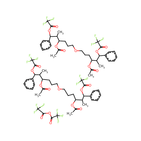 CC(=O)OC(CCCOCCCC(OC(C)=O)C(C)C(OC(=O)C(F)(F)F)c1ccccc1)C(C)C(OC(=O)C(F)(F)F)c1ccccc1.CC(=O)OC(CCCOCCCC(OC(C)=O)C(C)C(OC(=O)C(F)(F)F)c1ccccc1)C(C)C(OC(=O)C(F)(F)F)c1ccccc1.O=C(OC(=O)C(F)(F)F)C(F)(F)F